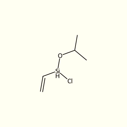 C=C[SiH](Cl)OC(C)C